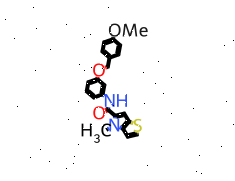 COc1ccc(COc2cccc(NC(=O)c3cc4sccc4n3C)c2)cc1